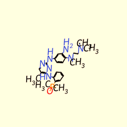 Cc1cnc(Nc2ccc(N(C)CCN(C)C)c(N)c2)nc1Nc1ccccc1P(C)(C)=O